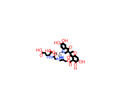 Cn1cc(-c2coc3cc(O)c(O)c(C(=O)OCc4cn(CC(=O)NC(CCC(=O)O)C(=O)O)nn4)c3c2=O)c(=O)c2cc(O)c(O)cc21